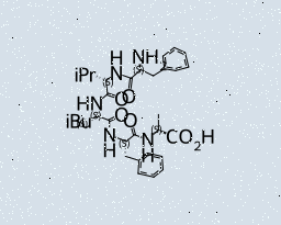 CC[C@H](C)[C@H](NC(=O)[C@@H](NC(=O)[C@@H](N)Cc1ccccc1)C(C)C)C(=O)N[C@@H](Cc1ccccc1)C(=O)N[C@@H](C)C(=O)O